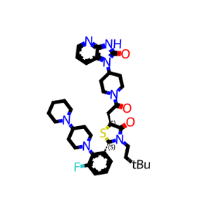 CC(C)(C)CCN1C(=O)[C@H](CC(=O)N2CCC(n3c(=O)[nH]c4ncccc43)CC2)S[C@H]1c1cccc(F)c1N1CCC(N2CCCCC2)CC1